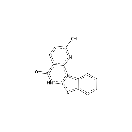 Cc1ccc2c(=O)[nH]c3nc4ccccc4n3c2n1